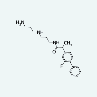 CC(C(=O)NCCCNCCCN)c1ccc(-c2ccccc2)c(F)c1